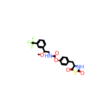 COC(CNC(=O)Oc1ccc(CC2NC(=O)SC2=O)cc1)c1cccc(C(F)(F)F)c1